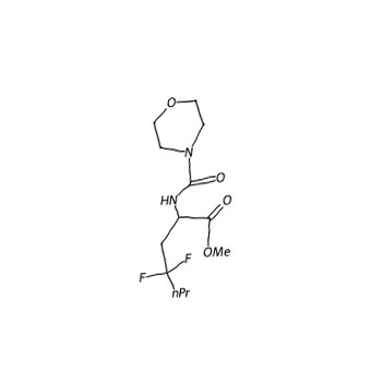 CCCC(F)(F)CC(NC(=O)N1CCOCC1)C(=O)OC